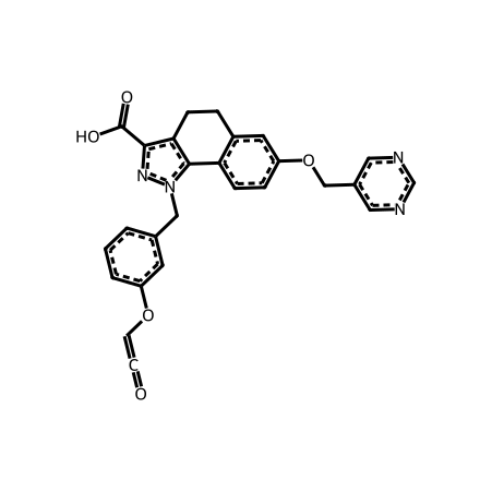 O=C=COc1cccc(Cn2nc(C(=O)O)c3c2-c2ccc(OCc4cncnc4)cc2CC3)c1